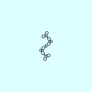 C[Si](C)(c1ccc2oc3ccc(-n4c5ccccc5c5ccccc54)cc3c2c1)c1ccc2oc3ccc(-n4c5ccccc5c5ccccc54)cc3c2c1